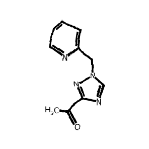 CC(=O)c1ncn(Cc2ccccn2)n1